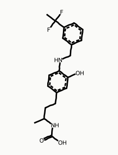 CC(CCc1ccc(NCc2cccc(C(C)(F)F)c2)c(O)c1)NC(=O)O